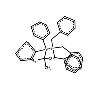 CC(C)(C)[Si](c1ccccc1)(c1ccccc1)[Si](Cc1ccccc1)(Cc1ccccc1)Cc1ccccc1